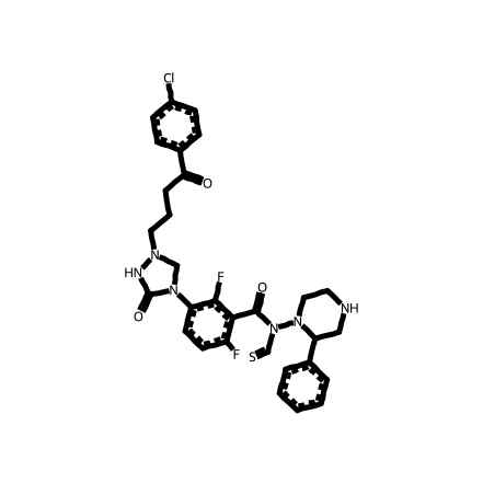 O=C(CCCN1CN(c2ccc(F)c(C(=O)N(C=S)N3CCNCC3c3ccccc3)c2F)C(=O)N1)c1ccc(Cl)cc1